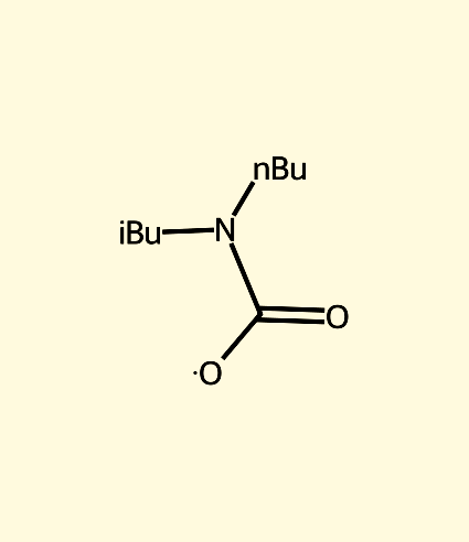 CCCCN(C([O])=O)C(C)CC